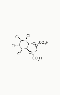 Cl[C@H]1[C@H](Cl)[C@@H](Cl)[C@@H](Cl)[C@H](Cl)[C@H]1Cl.O=C(O)OCOC(=O)O